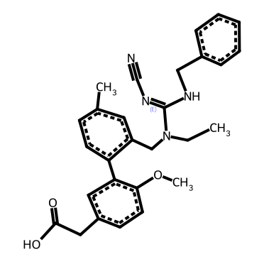 CCN(Cc1cc(C)ccc1-c1cc(CC(=O)O)ccc1OC)/C(=N/C#N)NCc1ccccc1